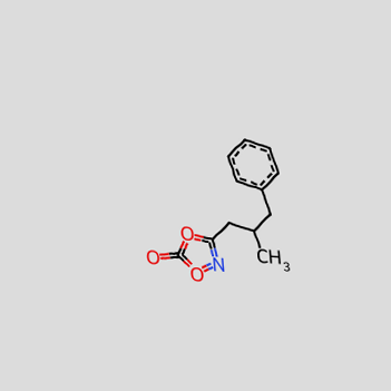 CC(Cc1ccccc1)Cc1noc(=O)o1